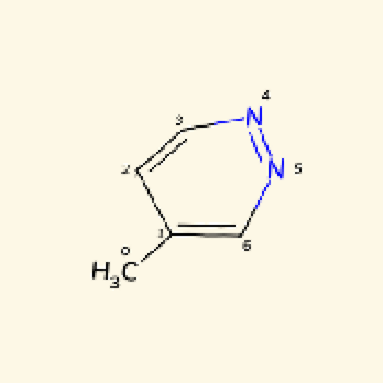 Cc1[c]cnnc1